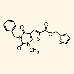 Cn1c(=O)n(Cc2ccccc2)c(=O)c2cc(C(=O)OCc3cccs3)sc21